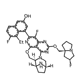 CCc1c(F)ccc2cc(O)cc(-c3nc4c5c(nc(OC[C@@]67CCCN6C[C@@H](F)C7)nc5c3F)N3C[C@@H]5CC[C@@H](N5)[C@H]3CO4)c12